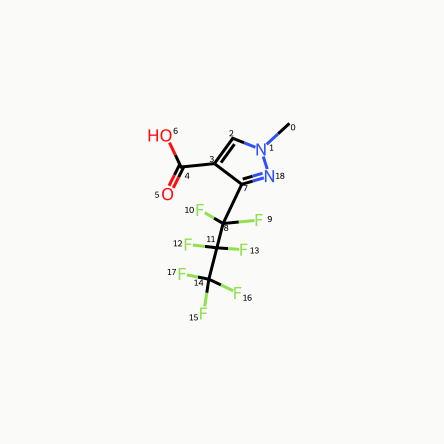 Cn1cc(C(=O)O)c(C(F)(F)C(F)(F)C(F)(F)F)n1